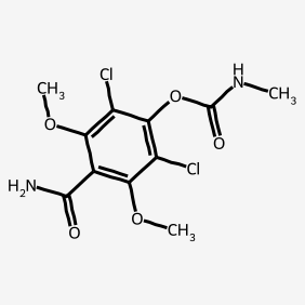 CNC(=O)Oc1c(Cl)c(OC)c(C(N)=O)c(OC)c1Cl